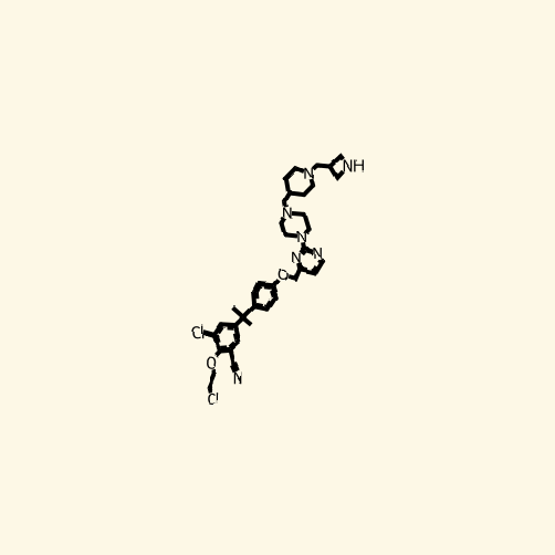 CC(C)(c1ccc(OCc2ccnc(N3CCN(CC4CCN(CC5CNC5)CC4)CC3)n2)cc1)c1cc(Cl)c(OCCCl)c(C#N)c1